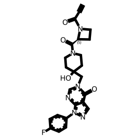 C#CC(=O)N1CC[C@H]1C(=O)N1CCC(O)(Cn2cnc3c(cnn3-c3ccc(F)cc3)c2=O)CC1